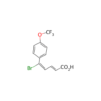 O=C(O)/C=C/C=C(/Br)c1ccc(OC(F)(F)F)cc1